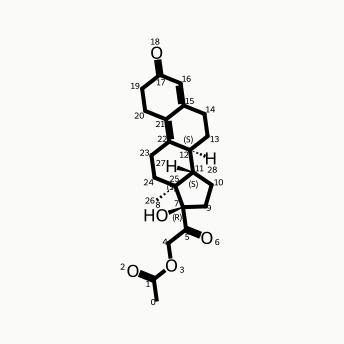 CC(=O)OCC(=O)[C@@]1(O)CC[C@H]2[C@@H]3CCC4=CC(=O)CCC4=C3CC[C@@]21C